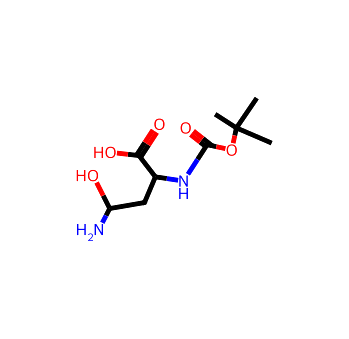 CC(C)(C)OC(=O)NC(CC(N)O)C(=O)O